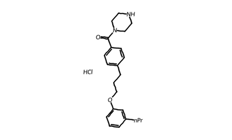 CCCc1cccc(OCCCc2ccc(C(=O)N3CCNCC3)cc2)c1.Cl